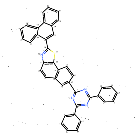 c1ccc(-c2nc(-c3ccccc3)nc(-c3ccc4c(ccc5nc(-c6cc7ccccc7c7ccccc67)sc54)c3)n2)cc1